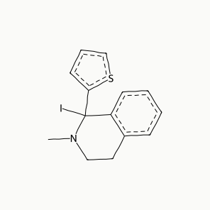 CN1CCc2ccccc2C1(I)c1cccs1